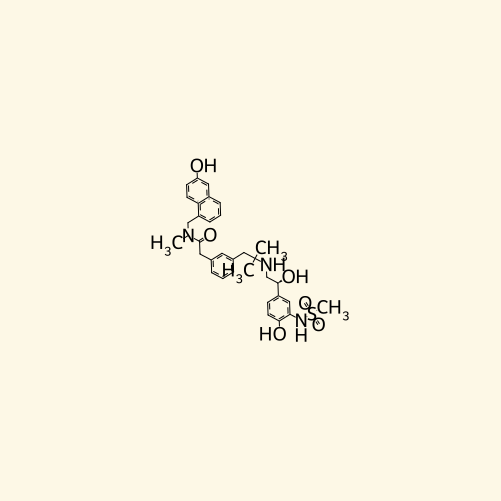 CN(Cc1cccc2cc(O)ccc12)C(=O)Cc1cccc(CC(C)(C)NC[C@@H](O)c2ccc(O)c(NS(C)(=O)=O)c2)c1